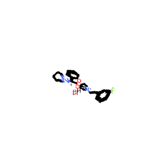 C[C@@](C(=O)O[C@H]1C[N+]2(CCc3cccc(F)c3)CCC1CC2)(c1ccccc1)N1CCCCC1.[Br-]